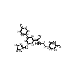 Cc1ccc(-c2cc(Oc3nccs3)cc(C(=O)NCCc3ccc(C)nc3)c2)nc1